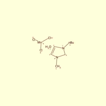 CCCCN1C=CN(C)C1.O.[Cl][Mn]([Cl])[Cl]